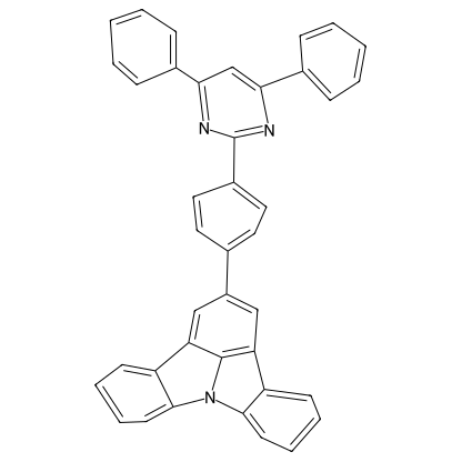 c1ccc(-c2cc(-c3ccccc3)nc(-c3ccc(-c4cc5c6ccccc6n6c7ccccc7c(c4)c56)cc3)n2)cc1